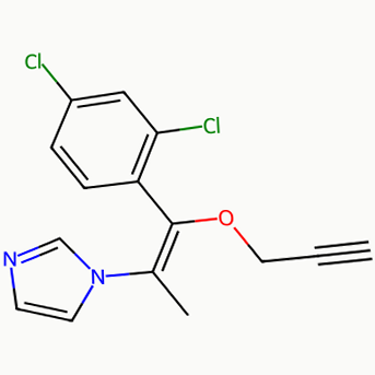 C#CCOC(=C(C)n1ccnc1)c1ccc(Cl)cc1Cl